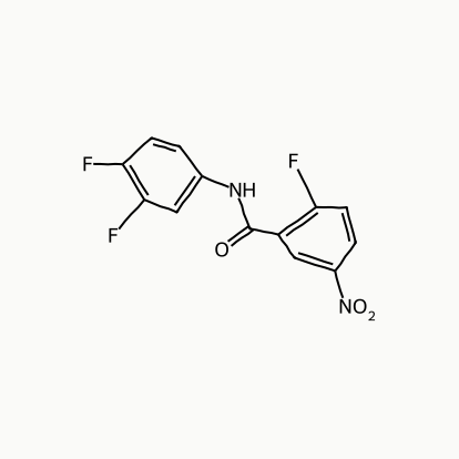 O=C(Nc1ccc(F)c(F)c1)c1cc([N+](=O)[O-])ccc1F